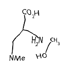 CNCC(N)C(=O)O.CO